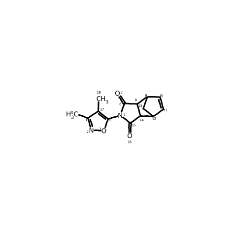 Cc1noc(N2C(=O)C3C4C=CC(C4)C3C2=O)c1C